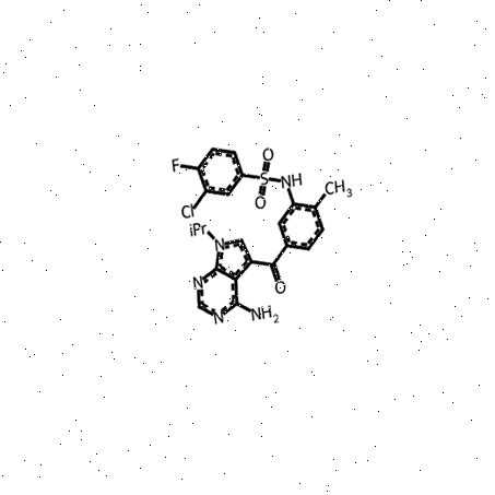 Cc1ccc(C(=O)c2cn(C(C)C)c3ncnc(N)c23)cc1NS(=O)(=O)c1ccc(F)c(Cl)c1